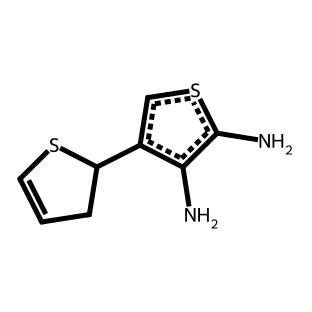 Nc1scc(C2CC=CS2)c1N